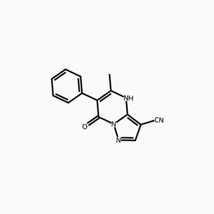 Cc1[nH]c2c(C#N)cnn2c(=O)c1-c1ccccc1